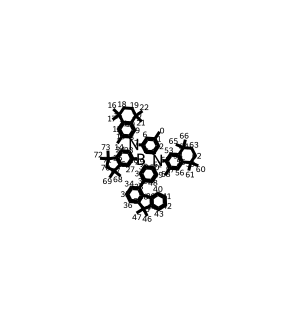 Cc1cc2c3c(c1)N(c1cc4c(cc1C)C(C)(C)CCC4(C)C)c1cc4c(cc1B3c1cc(-c3cccc5c3-c3ccccc3C5(C)C)ccc1N2c1cc2c(cc1C)C(C)(C)CCC2(C)C)C(C)(C)CC4(C)C